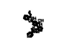 CCC[C@@H](NC(=O)c1ccc(-c2c(Cl)cccc2-c2ncc(-c3ccncc3)[nH]2)c(C(=O)O)c1)c1ccccc1